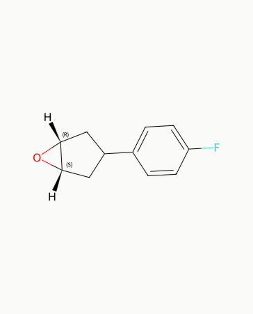 Fc1ccc(C2C[C@@H]3O[C@@H]3C2)cc1